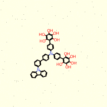 Oc1c(O)c(O)c(-c2ccc(N(c3ccc(-c4cccc(-n5c6ccccc6c6ccccc65)c4)cc3)c3ccc(-c4c(O)c(O)c(O)c(O)c4O)cc3)cc2)c(O)c1O